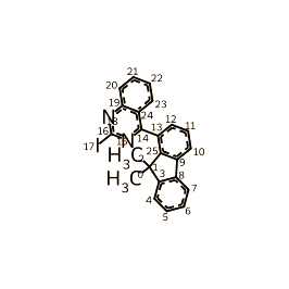 CC1(C)c2ccccc2-c2cccc(-c3nc(I)nc4ccccc34)c21